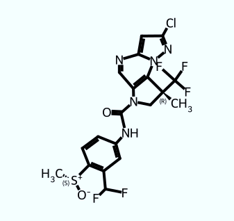 C[S@@+]([O-])c1ccc(NC(=O)N2C[C@@](C)(C(F)(F)F)c3c2cnc2cc(Cl)nn32)cc1C(F)F